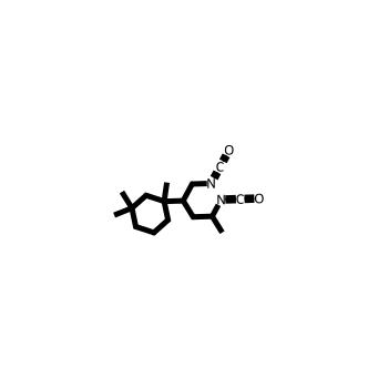 CC(CC(CN=C=O)C1(C)CCCC(C)(C)C1)N=C=O